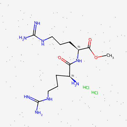 COC(=O)[C@H](CCCNC(=N)N)NC(=O)[C@@H](N)CCCNC(=N)N.Cl.Cl